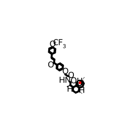 C[C@H]1[C@H](NC(=O)COc2ccc(C(=O)/C=C/c3ccc(OC(F)(F)F)cc3)cc2)O[C@@H]2O[C@]3(C)CC[C@H]4[C@H](C)CC[C@@H]1[C@@]24OO3